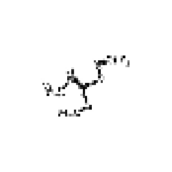 C=N/N=C(\NC)SC